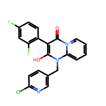 O=c1c(-c2ccc(F)cc2F)c(O)n(Cc2ccc(Cl)nc2)c2cccc[n+]12